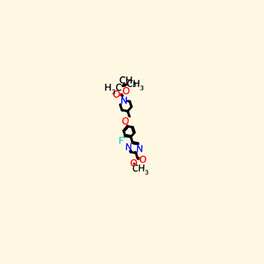 COC(=O)c1cnc(-c2ccc(OCC3CCN(C(=O)OC(C)(C)C)CC3)cc2F)cn1